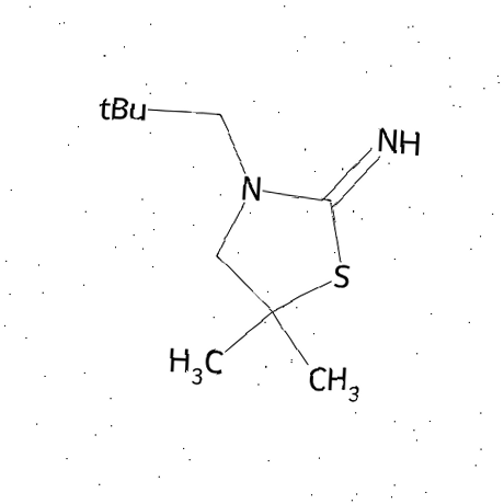 CC(C)(C)CN1CC(C)(C)SC1=N